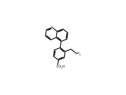 NCc1cc(C(=O)O)ccc1-c1cccc2ncccc12